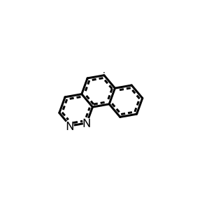 [c]1cc2ccnnc2c2ccccc12